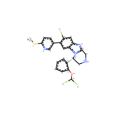 CSc1ccc(-c2cc3c(cc2F)nc2n3[C@@H](c3ccccc3OC(F)F)CNC2)cn1